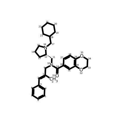 C/C(=C\c1ccccc1)CN(C[C@@H]1CCCN1CC1CCCCC1)C(=O)c1ccc2c(c1)OCCO2